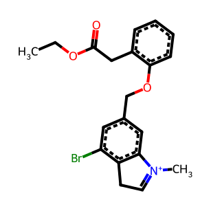 CCOC(=O)Cc1ccccc1OCc1cc(Br)c2c(c1)[N+](C)=CC2